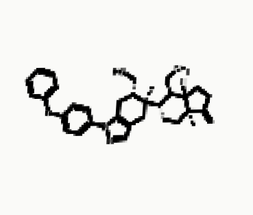 C=C1CC[C@H]2[C@H](CN)[C@@H]([C@@]3(C)Cc4cnn(-c5ccc(Oc6ccccc6)cc5)c4C[C@@H]3CO)CC[C@]12C